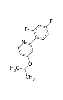 CC(C)Oc1ccnc(-c2ccc(F)cc2F)c1